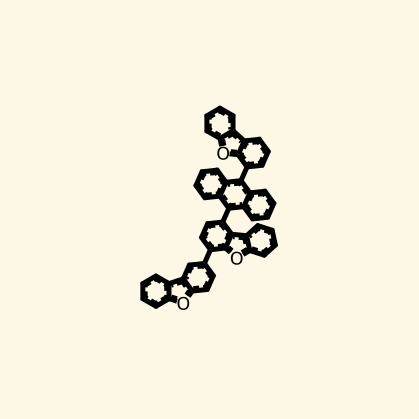 c1ccc2c(c1)oc1ccc(-c3ccc(-c4c5ccccc5c(-c5cccc6c5oc5ccccc56)c5ccccc45)c4c3oc3ccccc34)cc12